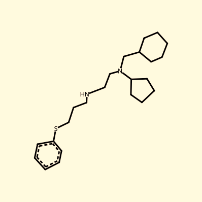 c1ccc(SCCCNCCN(CC2CCCCC2)C2CCCC2)cc1